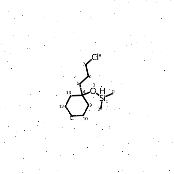 C[SiH](C)OC1(CCCCl)CCCCC1